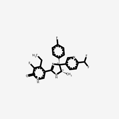 CCc1c(C2=N[C@@](c3ccc(F)cc3)(c3ccc(C(F)F)nc3)[C@H](C)N2)c[nH]c(=O)c1F